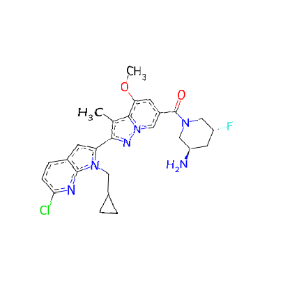 COc1cc(C(=O)N2C[C@H](N)C[C@@H](F)C2)cn2nc(-c3cc4ccc(Cl)nc4n3CC3CC3)c(C)c12